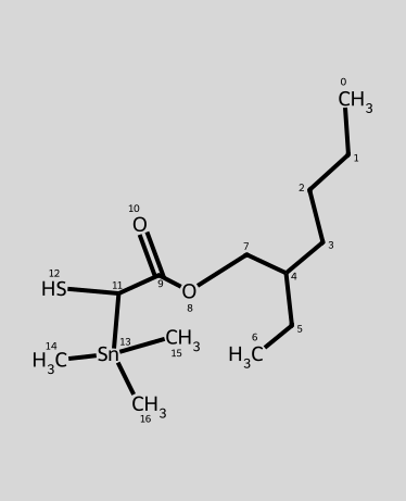 CCCCC(CC)COC(=O)[CH](S)[Sn]([CH3])([CH3])[CH3]